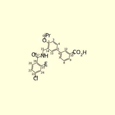 CC(C)Oc1ccc(-c2cccc(C(=O)O)c2)cc1CNC(=O)c1ccc(Cl)cc1F